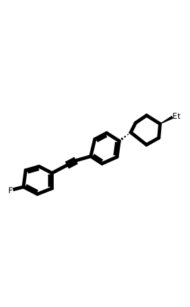 CC[C@H]1CC[C@H](c2ccc(C#Cc3ccc(F)cc3)cc2)CC1